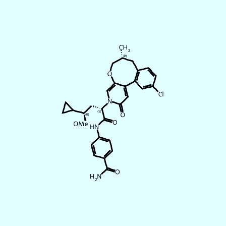 CO[C@H](C[C@@H](C(=O)Nc1ccc(C(N)=O)cc1)n1cc2c(cc1=O)-c1cc(Cl)ccc1C[C@@H](C)CO2)C1CC1